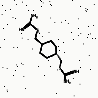 N=C(N)SC[C@H]1CC[C@H](CSC(=N)N)CC1